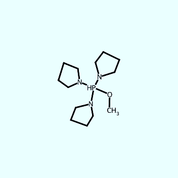 CO[PH](N1CCCC1)(N1CCCC1)N1CCCC1